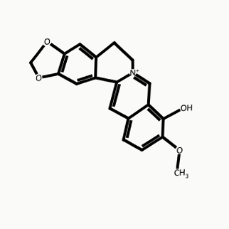 COc1ccc2cc3[n+](cc2c1O)CCc1cc2c(cc1-3)OCO2